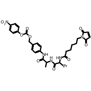 CC(NC(=O)C(NC(=O)CCCCCN1C(=O)C=CC1=O)C(C)C)C(=O)Nc1ccc(COC(=O)Oc2ccc([N+](=O)[O-])cc2)cc1